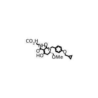 COC[C@@H]1CC(O)=C(C(=O)NCC(=O)O)C(=O)N1Cc1ccc(OCC2CC2)cc1